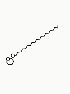 ICCCCCCCCCCCCCCCCCCOC1CCCCO1